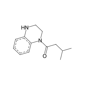 CC(C)CC(=O)N1CCNc2ccccc21